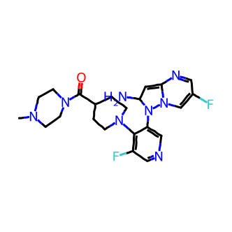 CN1CCN(C(=O)C2CCN(c3c(F)cncc3N3C(N)C=C4N=CC(F)=CN43)CC2)CC1